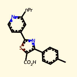 CCCc1cc(-c2nc(-c3ccc(C)cc3)c(C(=O)O)s2)ccn1